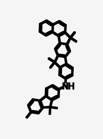 Cc1ccc2c(c1)C(C)(C)c1cc(Nc3ccc4c(c3)C(C)(C)c3cc5c(cc3-4)C(C)(C)c3ccc4ccccc4c3-5)ccc1-2